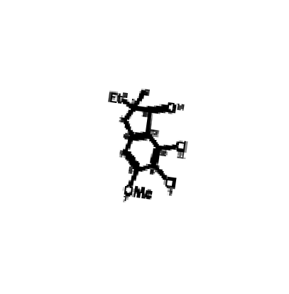 CCC1(C)Cc2cc(OC)c(Cl)c(Cl)c2C1=O